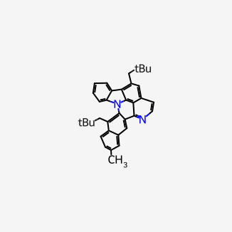 Cc1ccc2c(CC(C)(C)C)c3c(cc2c1)c1nccc2cc(CC(C)(C)C)c4c5ccccc5n3c4c21